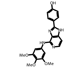 COc1cc(Nc2nccc3[nH]c(-c4ccc(O)cc4)nc23)cc(OC)c1OC